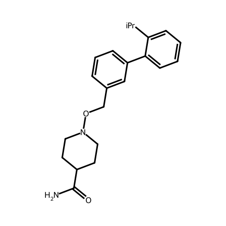 CC(C)c1ccccc1-c1cccc(CON2CCC(C(N)=O)CC2)c1